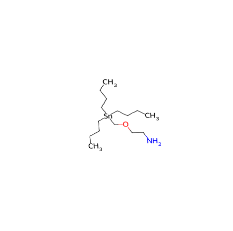 CCC[CH2][Sn]([CH2]CCC)([CH2]CCC)[CH2]OCCN